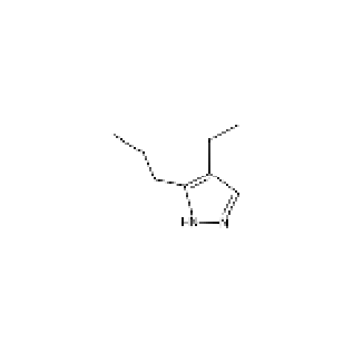 CCCc1[nH]ncc1CC